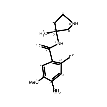 COc1cc(C(=O)N[C@]2(C)CCNC2)c(F)cc1N